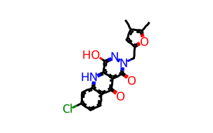 Cc1cc(Cn2nc(O)c3[nH]c4cc(Cl)ccc4c(=O)c3c2=O)oc1C